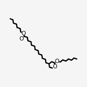 CCCCCCCOC(=O)CCCCCCCCCCCCC(CC)CC(=O)OCCCCCCC